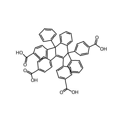 O=C(O)c1ccc(C2=C(c3ccc(C(=O)O)cc3)C(c3ccccc3)(c3ccc(C(=O)O)cc3)c3ccccc3C2(c2ccccc2)c2ccc(C(=O)O)cc2)cc1